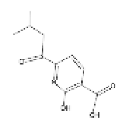 CC(C)CC(=O)c1ccc(C(=O)O)c(O)n1